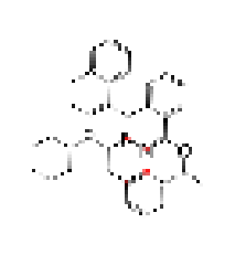 CC(Oc1nnc(-c2c(P(C3CCCCC3)C3CCCCC3)ccc3ccccc23)c2ccccc12)c1ccccc1